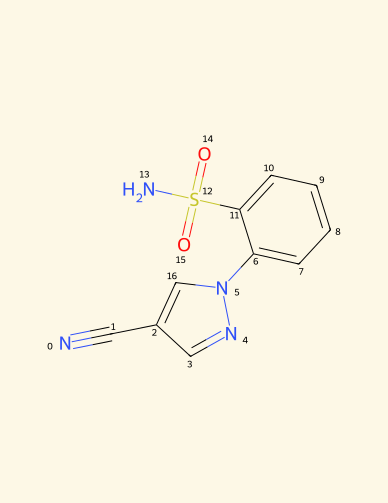 N#Cc1cnn(-c2ccccc2S(N)(=O)=O)c1